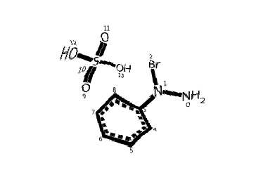 NN(Br)c1ccccc1.O=S(=O)(O)O